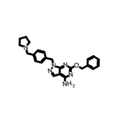 Nc1nc(OCc2ccccc2)nc2c1cnn2Cc1ccc(CN2CCCC2)cc1